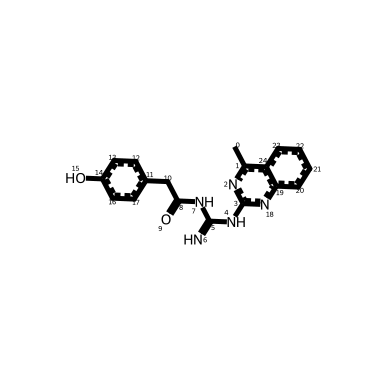 Cc1nc(NC(=N)NC(=O)Cc2ccc(O)cc2)nc2ccccc12